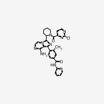 Cc1cc(C(=O)Nc2ccccn2)ccc1-c1nc(C2CCCCN2C(=O)c2ccnc(Cl)n2)n2ccnc(N)c12